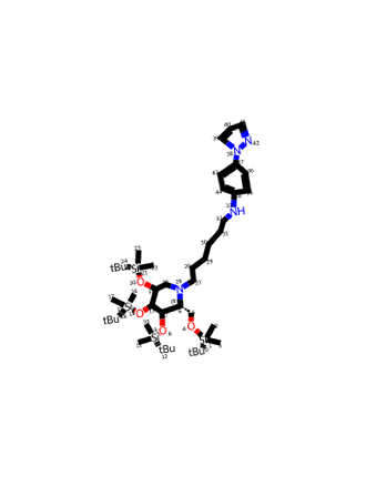 CC(C)(C)[Si](C)(C)OC[C@@H]1C(O[Si](C)(C)C(C)(C)C)C(O[Si](C)(C)C(C)(C)C)C(O[Si](C)(C)C(C)(C)C)CN1CCCCCCNc1ccc(-n2cccn2)cc1